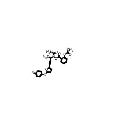 CC(=O)Oc1ccccc1C(=O)ON(C(N)=O)C(C)C#Cc1ccc(Oc2ccc(F)cc2)o1